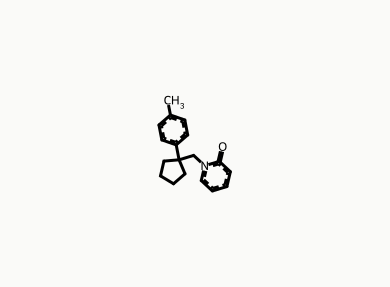 Cc1ccc(C2(Cn3ccccc3=O)CCCC2)cc1